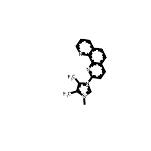 C[n+]1cn(-c2ccc3ccc4cccnc4c3n2)c(C(F)(F)F)c1C(F)(F)F